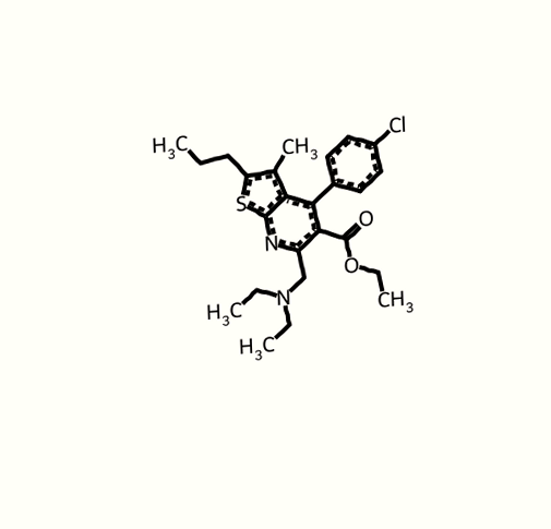 CCCc1sc2nc(CN(CC)CC)c(C(=O)OCC)c(-c3ccc(Cl)cc3)c2c1C